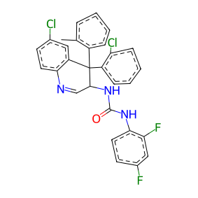 Cc1ccccc1C1(c2ccccc2Cl)c2cc(Cl)ccc2N=CC1NC(=O)Nc1ccc(F)cc1F